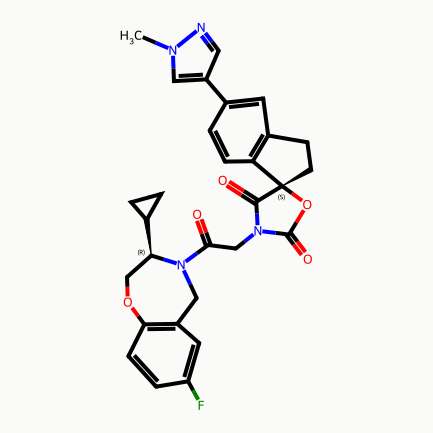 Cn1cc(-c2ccc3c(c2)CC[C@]32OC(=O)N(CC(=O)N3Cc4cc(F)ccc4OC[C@H]3C3CC3)C2=O)cn1